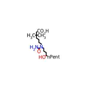 CCCCCC(O)CCCN(CCCCC(C)(C)CC(=O)O)C(N)=O